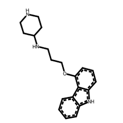 c1ccc2c(c1)[nH]c1cccc(OCCCNC3CCNCC3)c12